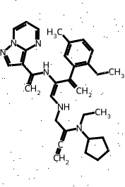 C=C=C(CN/C=C(/NC(=C)c1cnn2cccnc12)C(=C)c1cc(C)ccc1CC)N(CC)C1CCCC1